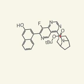 CC(C)(C)OC(=O)N1C2CCC1CN(c1ncnc3c(F)c(-c4cc(O)cc5ccccc45)ncc13)C2